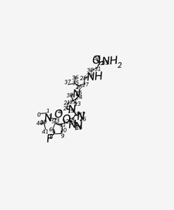 CCN(C(=O)c1cc(F)ccc1Oc1nncnc1N1CCC2(C1)CN(C(CCNCCC(N)=O)C(C)C)C2)C(C)C